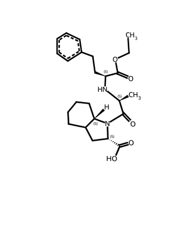 CCOC(=O)[C@H](CCc1ccccc1)N[C@@H](C)C(=O)N1[C@H](C(=O)O)CC2CCCC[C@@H]21